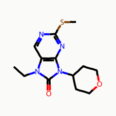 CCn1c(=O)n(C2CCOCC2)c2nc(SC)ncc21